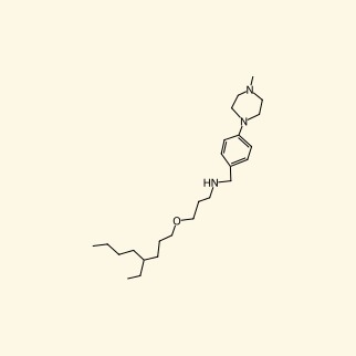 CCCCC(CC)CCCOCCCNCc1ccc(N2CCN(C)CC2)cc1